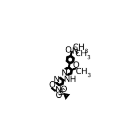 CC1Oc2cc(C(=O)N(C)C)ccc2-c2cnc(Nc3cnc4c(c3)N(S(=O)(=O)C3CC3)CCO4)cc21